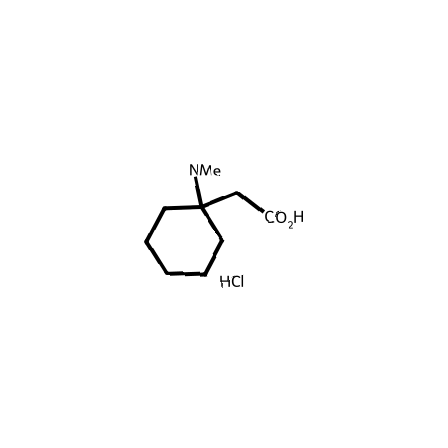 CNC1(CC(=O)O)CCCCC1.Cl